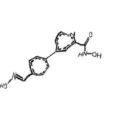 O=C(NO)c1cc(-c2ccc(/C=N/O)cc2)ccn1